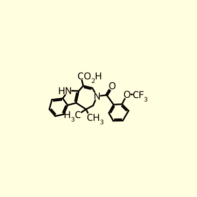 CC1(C)CN(C(=O)c2ccccc2OC(F)(F)F)C=C(C(=O)O)c2[nH]c3ccccc3c21